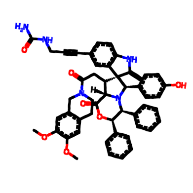 C=C1Nc2ccc(C#CCNC(N)=O)cc2[C@@]12C(CC(=O)N1CCc3cc(OC)c(OC)cc3C1)[C@H]1C(=O)O[C@H](c3ccccc3)[C@H](c3ccccc3)N1[C@@H]2c1ccc(O)cc1